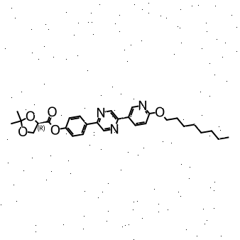 CCCCCCCCOc1ccc(-c2cnc(-c3ccc(OC(=O)[C@H]4COC(C)(C)O4)cc3)cn2)cn1